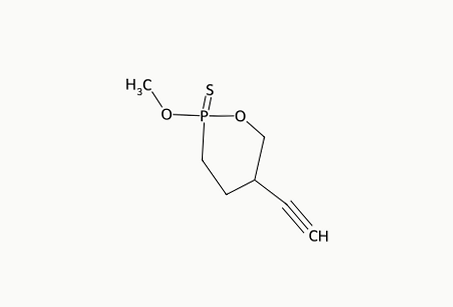 C#CC1CCP(=S)(OC)OC1